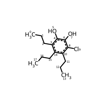 CCCc1c(O)c(O)c(Cl)c(CCC)c1CCC